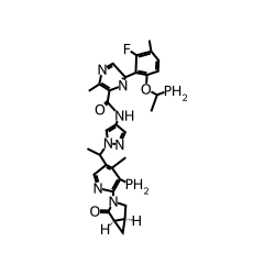 Cc1ccc(OC(C)P)c(-c2cnc(C)c(C(=O)Nc3cnn(C(C)c4cnc(N5C[C@H]6C[C@H]6C5=O)c(P)c4C)c3)n2)c1F